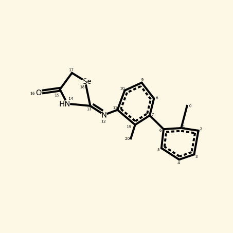 Cc1ccccc1-c1cccc(N=C2NC(=O)C[Se]2)c1C